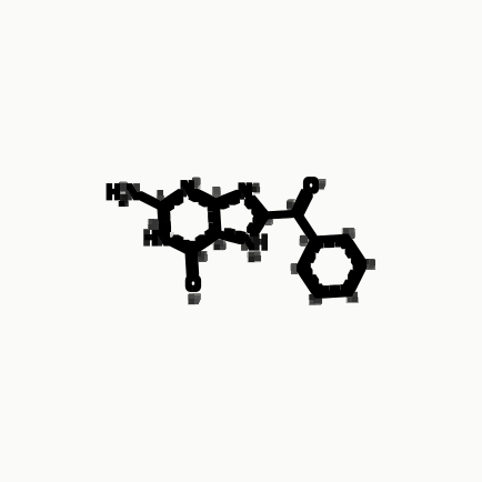 Nc1nc2nc(C(=O)c3ccccc3)[nH]c2c(=O)[nH]1